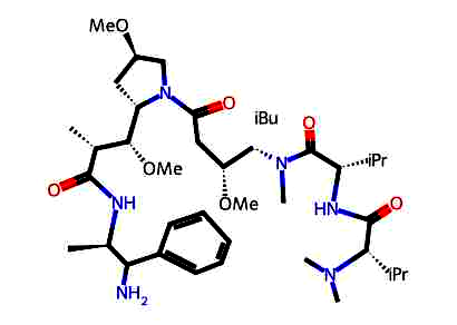 CC[C@H](C)[C@@H]([C@@H](CC(=O)N1C[C@H](OC)C[C@H]1[C@H](OC)[C@@H](C)C(=O)N[C@H](C)C(N)c1ccccc1)OC)N(C)C(=O)[C@@H](NC(=O)[C@H](C(C)C)N(C)C)C(C)C